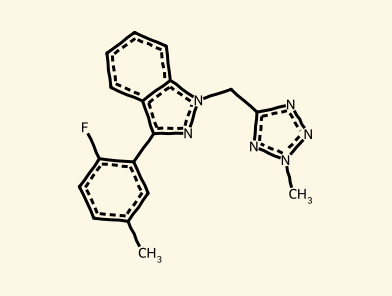 Cc1ccc(F)c(-c2nn(Cc3nnn(C)n3)c3ccccc23)c1